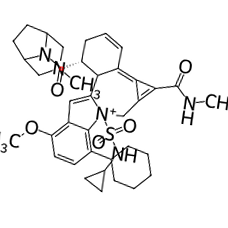 CNC(=O)C1=C2C[N+]3(S(=O)(=O)NC4CC4)C(=Cc4c(OC)ccc(C5CCCCC5)c43)C3C(=C21)C=CC[C@H]3C(=O)N1C2CCC1CN(C)C2